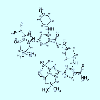 CC1(C)CC(=O)c2c(C(F)(F)F)nn(-c3ccc(C(N)=O)c(NC4CC[S+]([O-])CC4)c3)c2C1.CC1(C)CC(=O)c2c(C(F)F)nn(-c3ccc(C(N)=O)c(NC4CC[S+]([O-])CC4)c3)c2C1